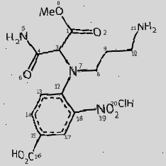 COC(=O)C(C(N)=O)N(CCCN)c1ccc(C(=O)O)cc1[N+](=O)[O-].Cl